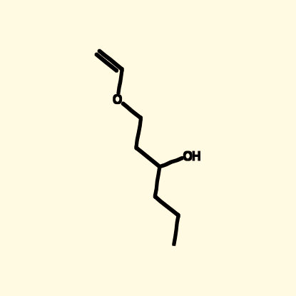 C=COCCC(O)CCC